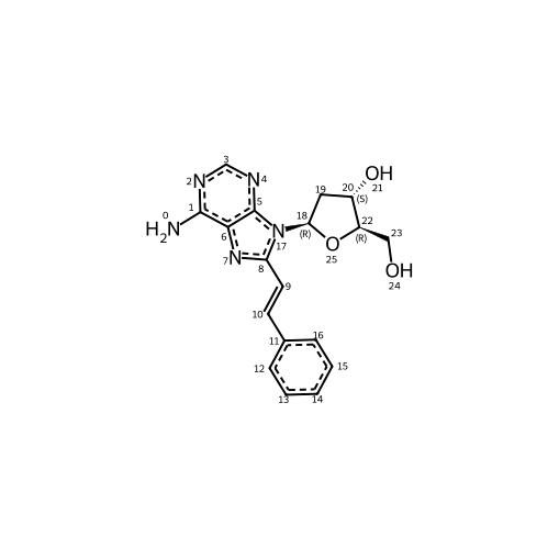 Nc1ncnc2c1nc(C=Cc1ccccc1)n2[C@H]1C[C@H](O)[C@@H](CO)O1